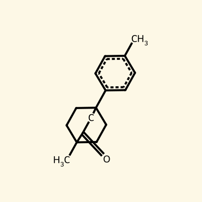 Cc1ccc(C23CCC(C)(CC2)C(=O)C3)cc1